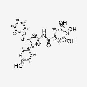 O=C(Nc1nc(-c2ccc(O)cc2)c(Cc2ccccc2)s1)c1cc(O)c(O)c(O)c1